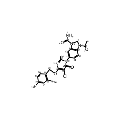 CC(=O)N1CN(C(N)=O)c2cc(-n3c(C)nc(OCc4ccc(F)cc4F)c(Cl)c3=O)ccc21